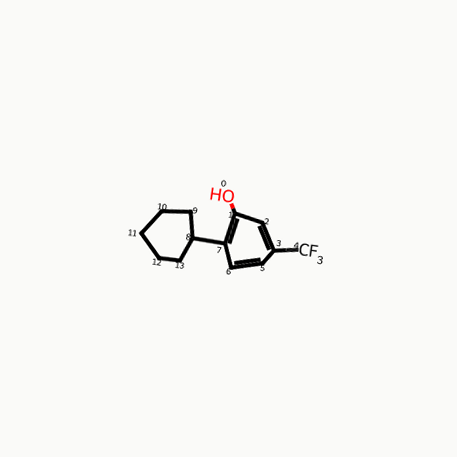 Oc1cc(C(F)(F)F)ccc1C1CCCCC1